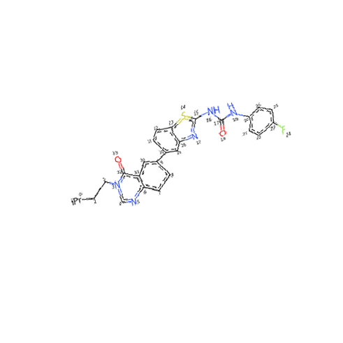 CC(C)CCn1cnc2ccc(-c3ccc4sc(NC(=O)Nc5ccc(F)cc5)nc4c3)cc2c1=O